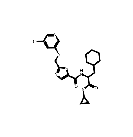 O=C(NC(CC1CCCCC1)C(=O)NC1CC1)c1cnc(CNc2cncc(Cl)c2)s1